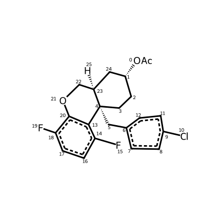 CC(=O)O[C@@H]1CC[C@@]2(Cc3ccc(Cl)cc3)c3c(F)ccc(F)c3OC[C@H]2C1